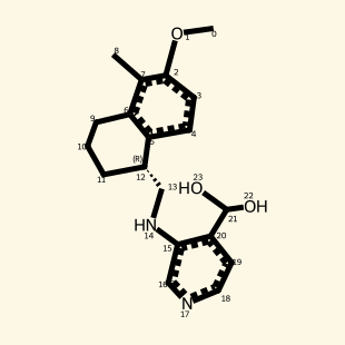 COc1ccc2c(c1C)CCC[C@H]2CNc1cnccc1C(O)O